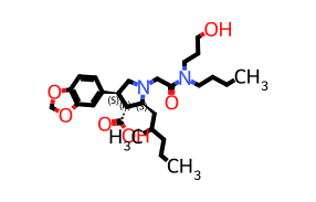 CCCCN(CCCO)C(=O)CN1C[C@H](c2ccc3c(c2)OCO3)[C@@H](C(=O)O)[C@@H]1CC(C)CCC